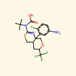 CC(C)(C)N(C(=O)O)C1=NC2(c3cc(N)ccc3F)COC(C(F)(F)F)CC2CS1